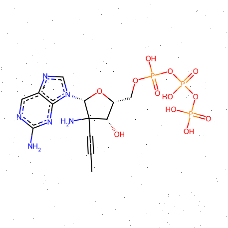 CC#CC1(N)[C@@H](O)[C@@H](COP(=O)(O)OP(=O)(O)OP(=O)(O)O)O[C@H]1n1cnc2cnc(N)nc21